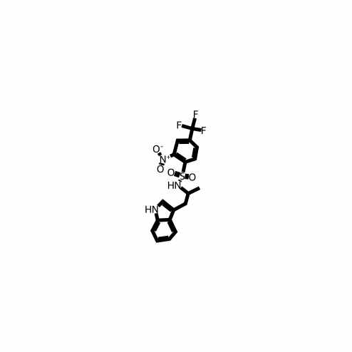 CC(Cc1c[nH]c2ccccc12)NS(=O)(=O)c1ccc(C(F)(F)F)cc1[N+](=O)[O-]